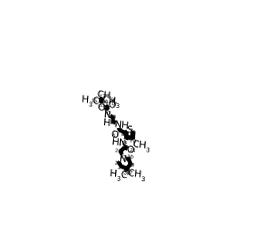 Cc1csc(C(=O)NCCNC(=O)OC(C)(C)C)c1NC(=O)CN1CCC(C)(C)CC1